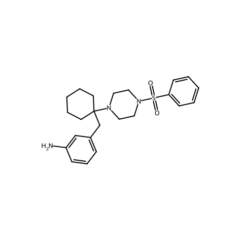 Nc1cccc(CC2(N3CCN(S(=O)(=O)c4ccccc4)CC3)CCCCC2)c1